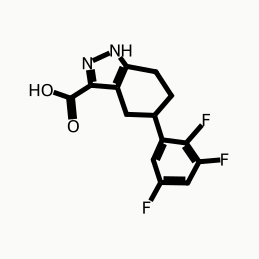 O=C(O)c1n[nH]c2c1CC(c1cc(F)cc(F)c1F)CC2